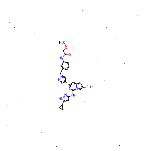 COCC(=O)Nc1cccc(Cn2cc(-c3cc4nc(C)cn4c(Nc4cc(C5CC5)[nH]n4)n3)cn2)c1